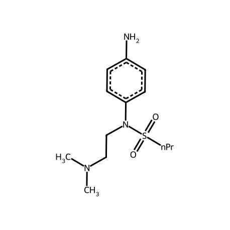 CCCS(=O)(=O)N(CCN(C)C)c1ccc(N)cc1